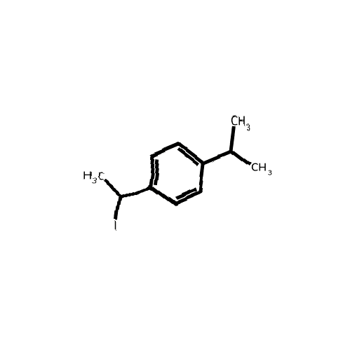 CC(C)c1ccc(C(C)I)cc1